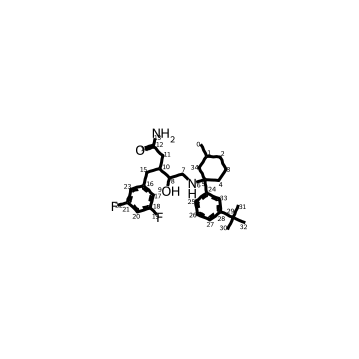 CC1CCCC(NCC(O)C(CC(N)=O)Cc2cc(F)cc(F)c2)(c2cccc(C(C)(C)C)c2)C1